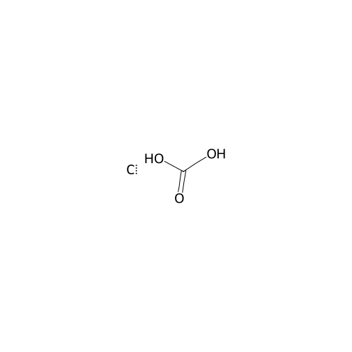 O=C(O)O.[C]